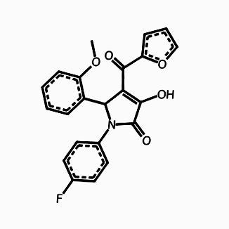 COc1ccccc1C1C(C(=O)c2ccco2)=C(O)C(=O)N1c1ccc(F)cc1